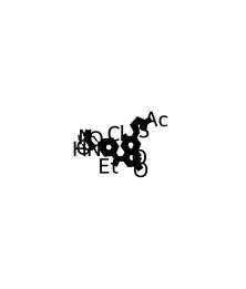 CCC(c1cccc(NS(=O)(=O)N(C)C)c1)c1cc(=O)oc2cc(-c3ccc(C(C)=O)s3)c(Cl)cc12